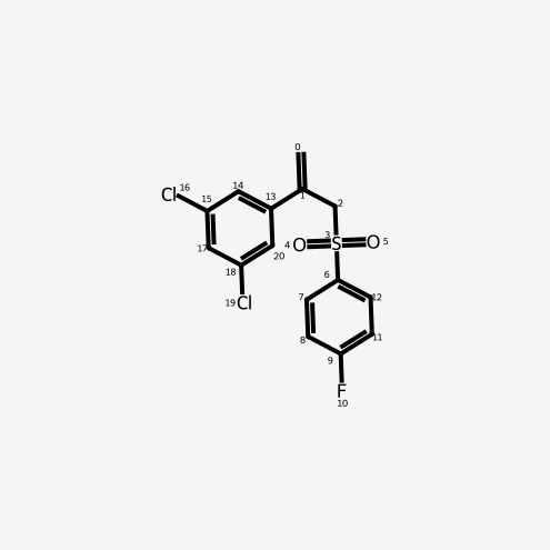 C=C(CS(=O)(=O)c1ccc(F)cc1)c1cc(Cl)cc(Cl)c1